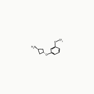 N[C@H]1C[C@H](Oc2cccc(OC(F)(F)F)c2)C1